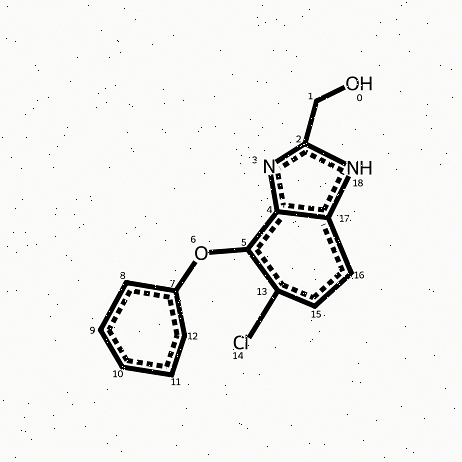 OCc1nc2c(Oc3ccccc3)c(Cl)ccc2[nH]1